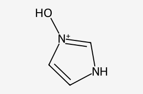 O[n+]1cc[nH]c1